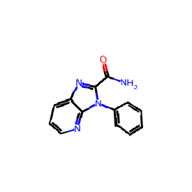 NC(=O)c1nc2cccnc2n1-c1ccccc1